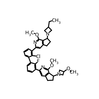 CCC1CN(C2CCc3cc(-c4cccc(-c5cccc(-c6cc7c(c(OC)n6)C(N6CC(OC)C6)CC7)c5F)c4Cl)nc(OC)c32)C1